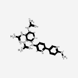 COc1ccc(-c2ccc(O[C@H]3SC[C@@H](OC(C)=O)[C@H](OC(C)=O)[C@H]3OC(C)=O)cn2)cn1